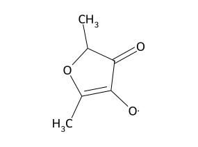 CC1=C([O])C(=O)C(C)O1